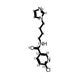 O=C(NCCCCn1ccnc1)c1ccc(Cl)nc1